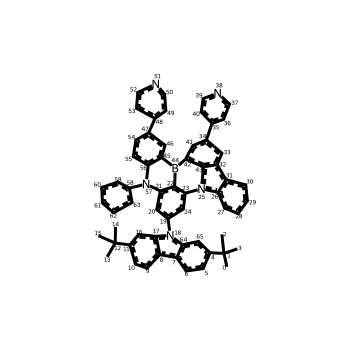 CC(C)(C)c1ccc2c3ccc(C(C)(C)C)cc3n(-c3cc4c5c(c3)-n3c6ccccc6c6cc(-c7ccncc7)cc(c63)B5c3cc(-c5ccncc5)ccc3N4c3ccccc3)c2c1